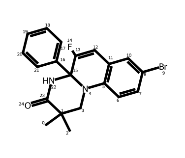 CC1(C)CN2c3ccc(Br)cc3C=C(F)C2(c2ccccc2)NC1=O